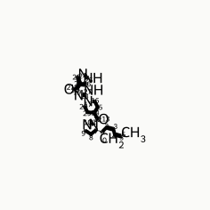 C=C(/C=C\C=C/C)[C@@H]1CC=NN1C(=O)C1CCN(c2nc(=O)c3cn[nH]c3[nH]2)CC1